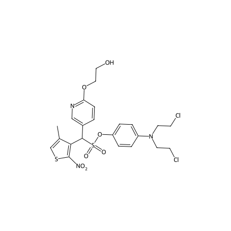 Cc1csc([N+](=O)[O-])c1C(c1ccc(OCCO)nc1)S(=O)(=O)Oc1ccc(N(CCCl)CCCl)cc1